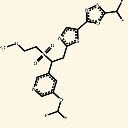 COCCS(=O)(=O)C(Cc1ncc(-c2nnc(C(F)F)o2)s1)c1cncc(OC(F)F)c1